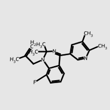 C=C(C)CN1c2c(F)cccc2C(c2cnc(C)c(C)c2)=NC1(C)C